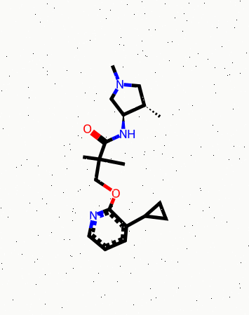 C[C@H]1CN(C)C[C@@H]1NC(=O)C(C)(C)COc1ncccc1C1CC1